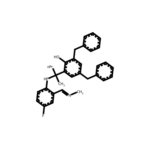 CCCC(C)(Pc1ccc(F)cc1/C=N/C)c1cc(Cc2ccccc2)cc(Cc2ccccc2)c1O